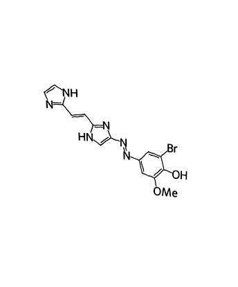 COc1cc(/N=N/c2c[nH]c(/C=C/c3ncc[nH]3)n2)cc(Br)c1O